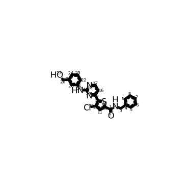 O=C(NCc1ccccc1)c1cc(Cl)c(-c2ccnc(Nc3cccc(CO)c3)n2)s1